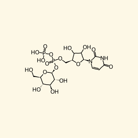 O=c1ccn([C@H]2O[C@@H](COP(=O)(O[C@@H]3O[C@H](CO)[C@@H](O)[C@H](O)[C@H]3O)OP(=O)(O)O)C(O)C2O)c(=O)[nH]1